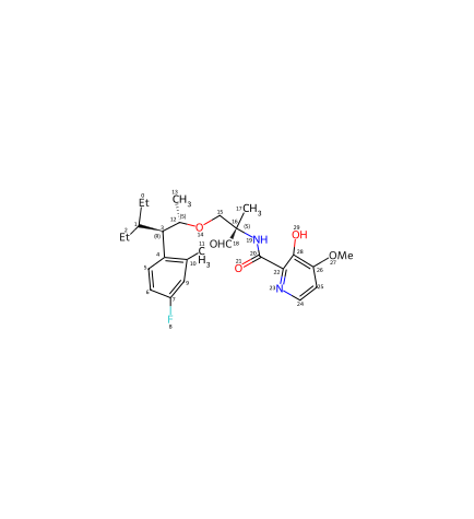 CCC(CC)[C@H](c1ccc(F)cc1C)[C@H](C)OC[C@@](C)(C=O)NC(=O)c1nccc(OC)c1O